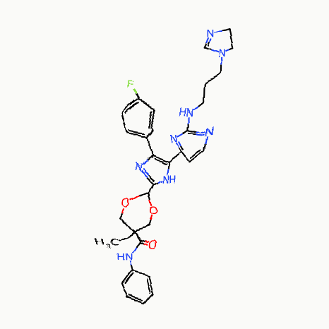 CC1(C(=O)Nc2ccccc2)COC(c2nc(-c3ccc(F)cc3)c(-c3ccnc(NCCCN4C=NCC4)n3)[nH]2)OC1